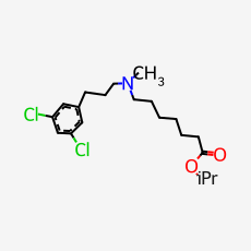 CC(C)OC(=O)CCCCCCN(C)CCCc1cc(Cl)cc(Cl)c1